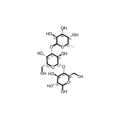 C[C@@H]1OC(O[C@H]2[C@@H](O)[C@@H](CO)O[C@@H](O[C@H]3[C@H](O)[C@@H](O)C(O)O[C@@H]3CO)[C@@H]2O)[C@@H](O)[C@H](O)[C@@H]1O